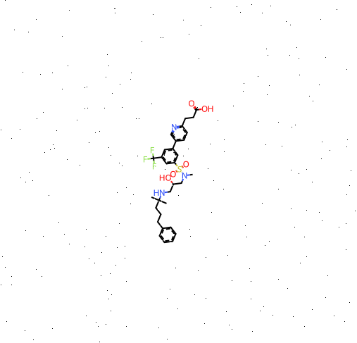 CN(C[C@H](O)CNC(C)(C)CCCc1ccccc1)S(=O)(=O)c1cc(-c2ccc(CCC(=O)O)nc2)cc(C(F)(F)F)c1